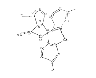 Cc1ccc2c(c1)Oc1cc(C)ccc1C21OC(=O)C2=C1C=CCC2C